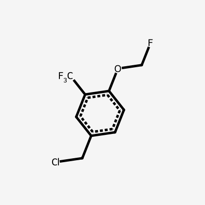 FCOc1ccc(CCl)cc1C(F)(F)F